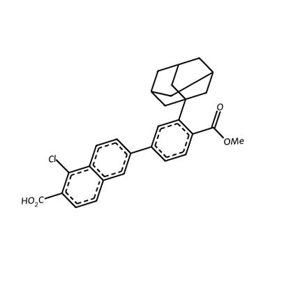 COC(=O)c1ccc(-c2ccc3c(Cl)c(C(=O)O)ccc3c2)cc1C12CC3CC(CC(C3)C1)C2